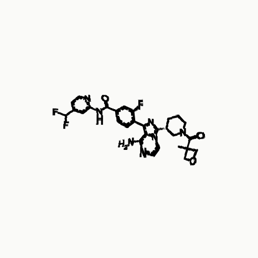 CC1(C(=O)N2CCC[C@@H](c3nc(-c4ccc(C(=O)Nc5cc(C(F)F)ccn5)cc4F)c4c(N)nccn34)C2)COC1